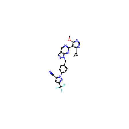 COc1ncnc(C2CC2)c1-c1ncc2cnn(Cc3ccc(-n4nc(C(F)(F)F)cc4C#N)cc3)c2n1